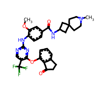 COc1cc(C(=O)NC2CC3(CCN(C)CC3)C2)ccc1Nc1ncc(C(F)(F)F)c(Oc2cccc3c2C(=O)CC3)n1